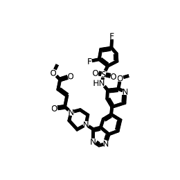 COC(=O)/C=C/C(=O)N1CCN(c2ncnc3ccc(-c4cnc(OC)c(NS(=O)(=O)c5ccc(F)cc5F)c4)cc23)CC1